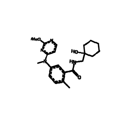 COc1nccc(N(C)c2ccc(C)c(C(=O)NCC3(O)CCCCC3)c2)n1